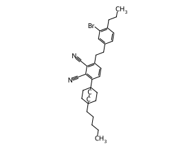 CCCCCC12CCC(c3ccc(CCc4ccc(CCC)c(Br)c4)c(C#N)c3C#N)(CC1)CC2